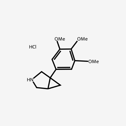 COc1cc(C23CNCC2C3)cc(OC)c1OC.Cl